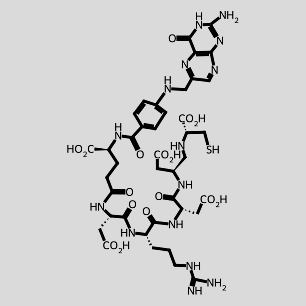 N=C(N)NCCC[C@H](NC(=O)[C@H](CC(=O)O)NC(=O)CC[C@H](NC(=O)c1ccc(NCc2cnc3nc(N)[nH]c(=O)c3n2)cc1)C(=O)O)C(=O)N[C@@H](CC(=O)O)C(=O)N[C@H](CN[C@@H](CS)C(=O)O)CC(=O)O